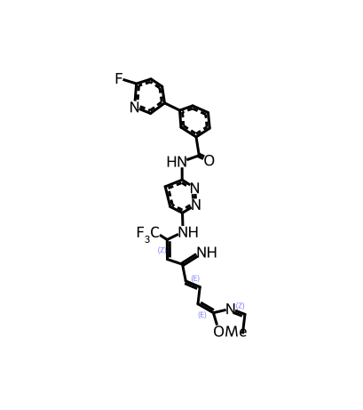 C\C=N/C(=C\C=C\C(=N)/C=C(\Nc1ccc(NC(=O)c2cccc(-c3ccc(F)nc3)c2)nn1)C(F)(F)F)OC